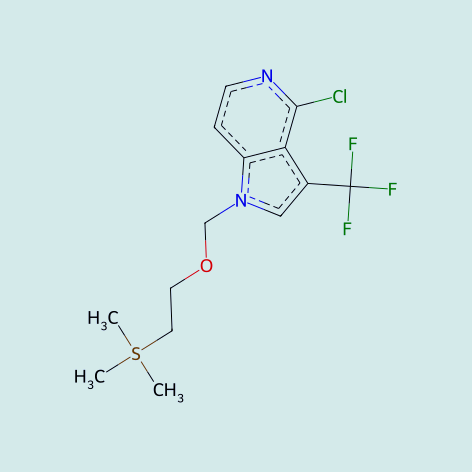 CS(C)(C)CCOCn1cc(C(F)(F)F)c2c(Cl)nccc21